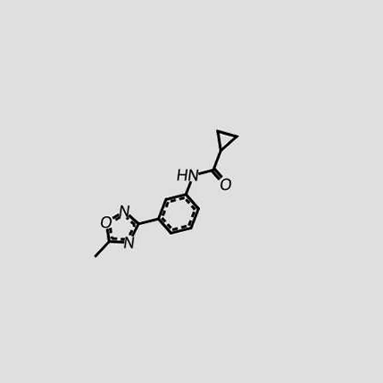 Cc1nc(-c2cccc(NC(=O)C3CC3)c2)no1